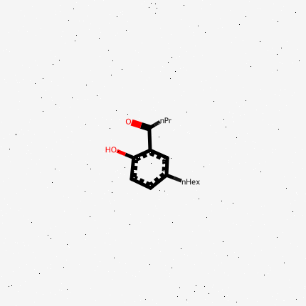 CCCCCCc1ccc(O)c(C(=O)CCC)c1